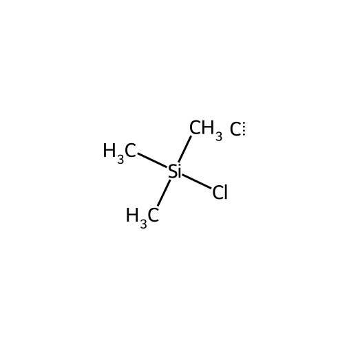 C[Si](C)(C)Cl.[C]